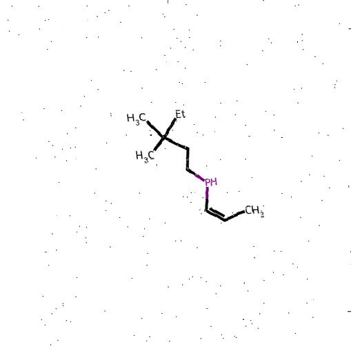 C/C=C\PCCC(C)(C)CC